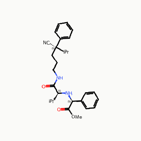 COC(=O)[C@@H](N[C@H](C(=O)NCCC[C@@](C#N)(c1ccccc1)C(C)C)C(C)C)c1ccccc1